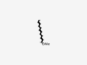 CC=CCCC=CCCC=CCOC